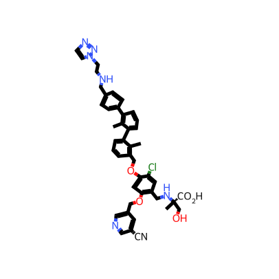 Cc1c(COc2cc(OCc3cncc(C#N)c3)c(CN[C@@](C)(CO)C(=O)O)cc2Cl)cccc1-c1cccc(-c2ccc(CNCCn3ccnn3)cc2)c1C